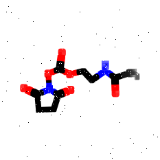 O=C(OCCNC(=O)C(F)(F)F)ON1C(=O)CCC1=O